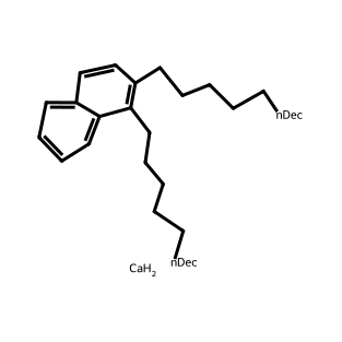 CCCCCCCCCCCCCCCc1ccc2ccccc2c1CCCCCCCCCCCCCCC.[CaH2]